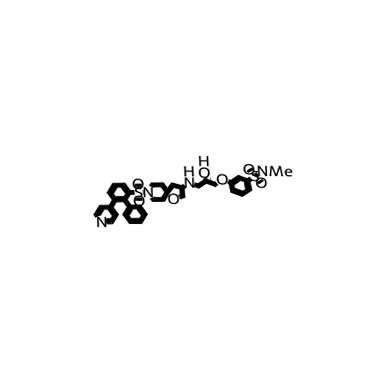 CNS(=O)(=O)c1cccc(OC[C@@H](O)CNC2COC3(CCN(S(=O)(=O)c4cccc(-c5ccncc5)c4-c4ccccc4)CC3)C2)c1